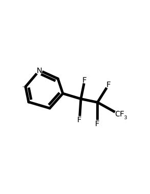 FC(F)(F)C(F)(F)C(F)(F)c1cc[c]nc1